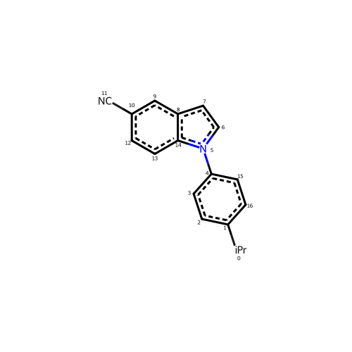 [CH2]C(C)c1ccc(-n2ccc3cc(C#N)ccc32)cc1